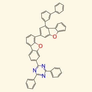 c1ccc(-c2cccc(-c3cc(-c4cccc5c4oc4cc(-c6nc(-c7ccccc7)nc(-c7ccccc7)n6)ccc45)cc4oc5ccccc5c34)c2)cc1